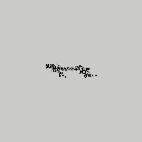 CO[C@@]1(NC(=O)Cc2cccs2)C(=O)N2C(C(=O)OCCCCCCCCCCC(=O)C[C@H]3CCCCN(c4c(F)cc5c(=O)c(C(=O)O)cn(C6CC6)c5c4Cl)C3)=C(COC(N)=O)CS[C@@H]21